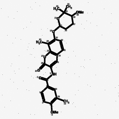 COc1ccc(C(=O)Nc2cc3ccc(OC4CCC(OC)C(C)(C)O4)c(C)c3oc2=O)cc1C